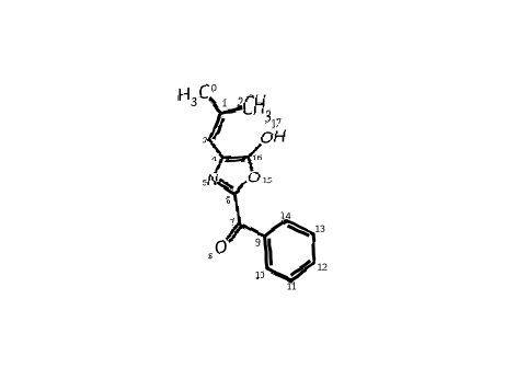 CC(C)=Cc1nc(C(=O)c2ccccc2)oc1O